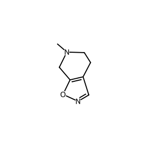 CN1CCc2cnoc2C1